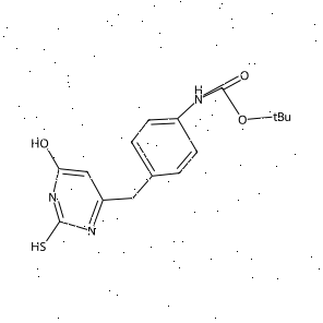 CC(C)(C)OC(=O)Nc1ccc(Cc2cc(O)nc(S)n2)cc1